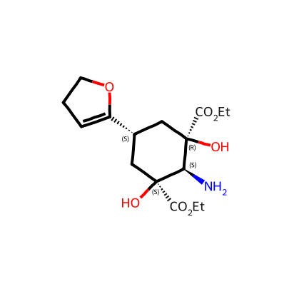 CCOC(=O)[C@]1(O)C[C@H](C2=CCCO2)C[C@](O)(C(=O)OCC)[C@H]1N